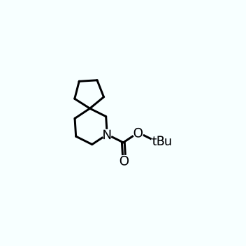 CC(C)(C)OC(=O)N1CCCC2(CCCC2)C1